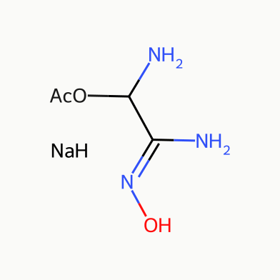 CC(=O)OC(N)C(N)=NO.[NaH]